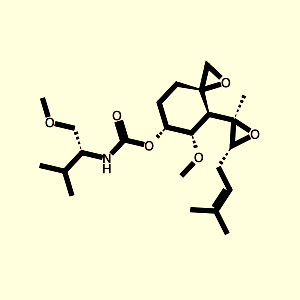 COC[C@H](NC(=O)O[C@@H]1CC[C@]2(CO2)[C@@H]([C@@]2(C)O[C@@H]2CC=C(C)C)[C@@H]1OC)C(C)C